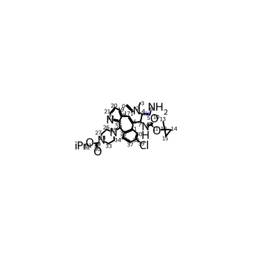 C=CN(C)/C(=C\N)C(NC(=O)OC1(C)CC1)C1=Cc2cccnc2C(N2CCN(C(=O)OC(C)C)CC2)c2ccc(Cl)cc21